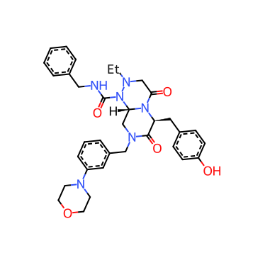 CCN1CC(=O)N2[C@@H](Cc3ccc(O)cc3)C(=O)N(Cc3cccc(N4CCOCC4)c3)C[C@@H]2N1C(=O)NCc1ccccc1